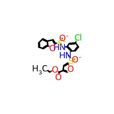 CCOC(=O)c1coc([S+]([O-])Nc2ccc(Cl)cc2N[S+]([O-])c2cc3ccccc3o2)c1